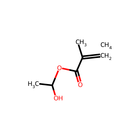 C.C=C(C)C(=O)OC(C)O